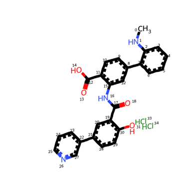 CNc1ccccc1-c1ccc(C(=O)O)c(NC(=O)c2cc(-c3cccnc3)ccc2O)c1.Cl.Cl